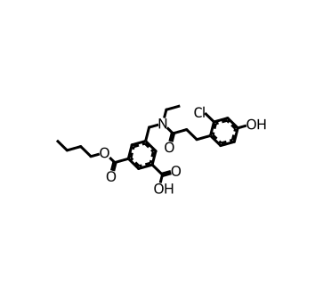 CCCCOC(=O)c1cc(CN(CC)C(=O)CCc2ccc(O)cc2Cl)cc(C(=O)O)c1